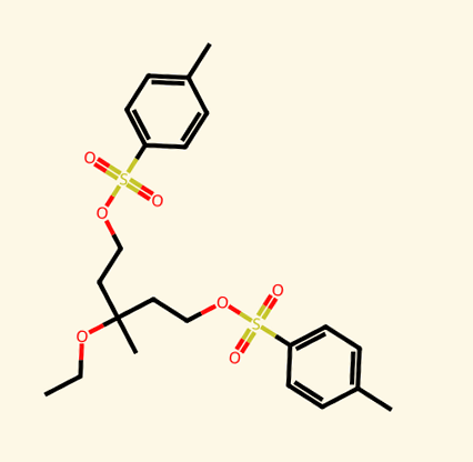 CCOC(C)(CCOS(=O)(=O)c1ccc(C)cc1)CCOS(=O)(=O)c1ccc(C)cc1